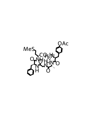 CSCC[C@@H](NC(=O)[C@H](Cc1ccccc1)NC(=O)CNC(=O)[C@@H](C)NC(=O)[C@@H](N)Cc1ccc(OC(C)=O)cc1)C(=O)O